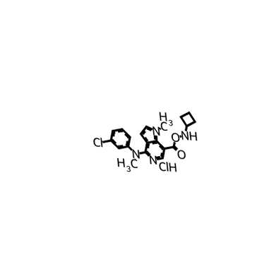 CN(c1cccc(Cl)c1)c1ncc(C(=O)ONC2CCC2)c2c1ccn2C.Cl